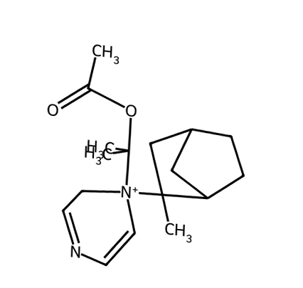 CC(=O)OC(C)(C)[N+]1(C2(C)CC3CCC2C3)C=CN=CC1